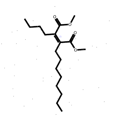 CCCCCCCC/C(C(=O)OC)=C(\CCCC)C(=O)OC